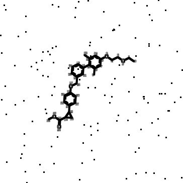 CCOCCOc1cc(C)c(-c2cccc(COc3ccc(C4CC4C(=O)OC)cc3)c2)c(C)c1